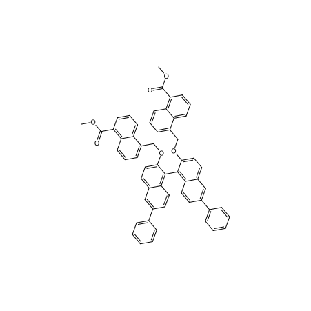 COC(=O)c1cccc2c(COc3ccc4cc(-c5ccccc5)ccc4c3-c3c(OCc4cccc5c(C(=O)OC)cccc45)ccc4cc(-c5ccccc5)ccc34)cccc12